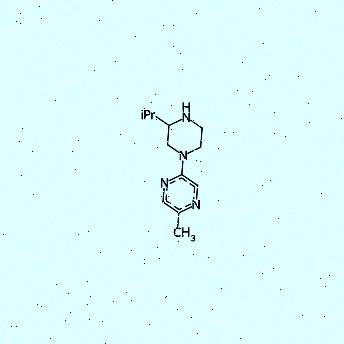 Cc1cnc(N2CCNC(C(C)C)C2)cn1